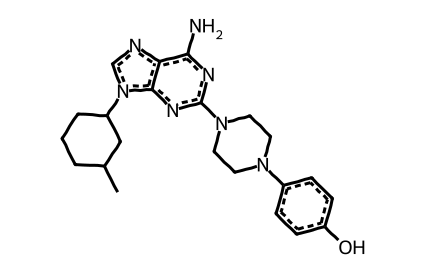 CC1CCCC(n2cnc3c(N)nc(N4CCN(c5ccc(O)cc5)CC4)nc32)C1